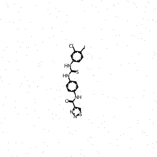 O=C(Nc1ccc(NC(=S)Nc2ccc(I)c(Cl)c2)cc1)c1csnn1